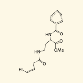 CC/C=C\CC(=O)NCCC(NC(=O)c1ccccc1)C(=O)OC